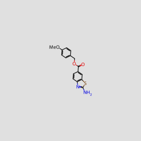 COc1ccc(COC(=O)c2ccc3nc(N)sc3c2)cc1